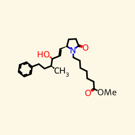 COC(=O)CCCCCCN1C(=O)CC[C@@H]1C=C[C@H](O)[C@@H](C)CCc1ccccc1